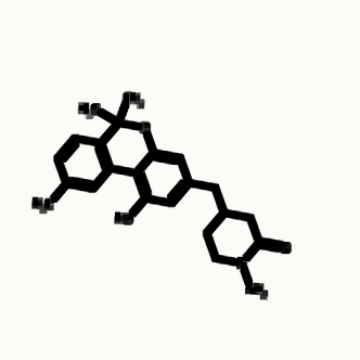 Cc1ccc2c(c1)-c1c(O)cc(CC3CCN(N)C(=O)C3)cc1OC2(C)C